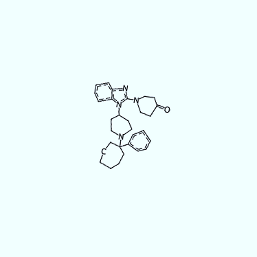 O=C1CCN(c2nc3ccccc3n2C2CCN(C3(c4ccccc4)CCCCCC3)CC2)CC1